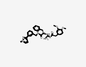 COc1ccc(CC(=O)N=C(N)N[C@H](Cc2ccccc2)C(=O)NCc2cccc(-c3ccn(C)n3)c2)cc1OC